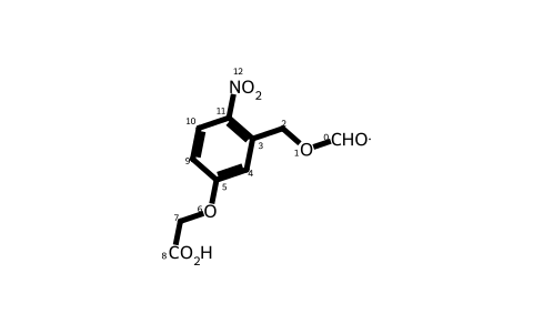 O=[C]OCc1cc(OCC(=O)O)ccc1[N+](=O)[O-]